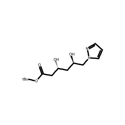 CC(C)(C)OC(=O)C[C@H](O)C[C@@H](O)Cn1cc[c]n1